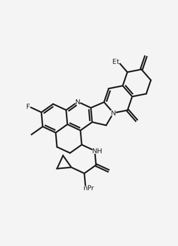 C=C1CCC2=C(C=C3c4nc5cc(F)c(C)c6c5c(c4CN3C2=C)C(NC(=C)C(CCC)C2CC2)CC6)C1CC